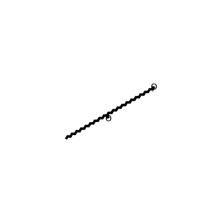 CCCCCCCCCCCCCCCCCCC(=O)CCCCCCCCCCCCCCCCCCC[C]=O